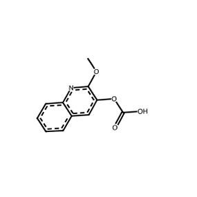 COc1nc2ccccc2cc1OC(=O)O